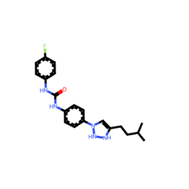 CC(C)CCC1=CN(c2ccc(NC(=O)Nc3ccc(F)cc3)cc2)NN1